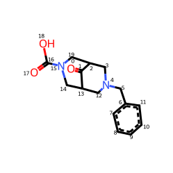 O=C1C2CN(Cc3ccccc3)CC1CN(C(=O)O)C2